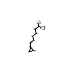 Cl[C](Cl)CCCCCC1CC1